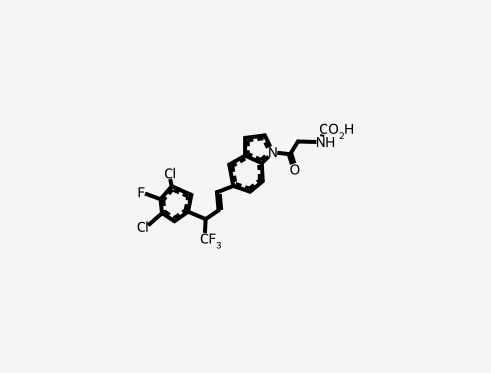 O=C(O)NCC(=O)n1ccc2cc(/C=C/C(c3cc(Cl)c(F)c(Cl)c3)C(F)(F)F)ccc21